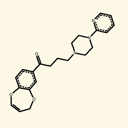 O=C(CCCN1CCN(c2ccccn2)CC1)c1ccc2c(c1)OCC=CO2